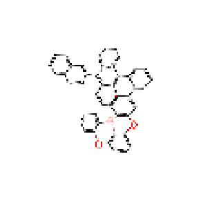 c1ccc2c(c1)Oc1cccc3c1B2c1ccc(-c2ccccc2-c2c4ccccc4c(-c4ccc5ccccc5c4)c4ccccc24)cc1O3